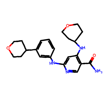 NC(=O)c1cnc(Nc2cccc(C3CCOCC3)c2)cc1NC1CCOCC1